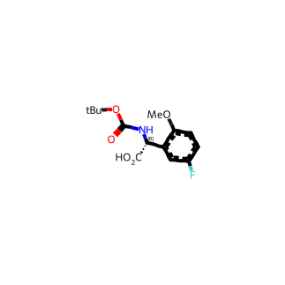 COc1ccc(F)cc1[C@@H](NC(=O)OC(C)(C)C)C(=O)O